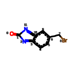 O=C1N=c2ccc(CBr)cc2=N1